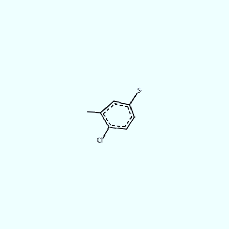 Cc1cc([S])ccc1Cl